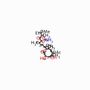 CCC(OC)C(C)C1OC1C(OC(N)=O)C(C)/C=C/C=C(\C)C1OC(=O)CC(O)CCC(C)(O)C(OC(C)=O)/C=C/C1C